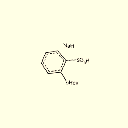 CCCCCCc1ccccc1S(=O)(=O)O.[NaH]